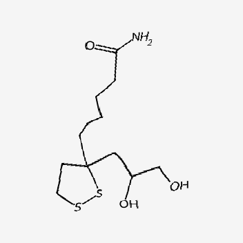 NC(=O)CCCCC1(CC(O)CO)CCSS1